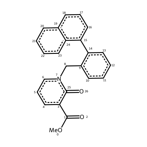 COC(=O)c1cccn(Cc2ccccc2-c2cccc3ccccc23)c1=O